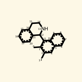 Cc1c(I)cc2ccccc2c1C1NCCc2ccccc21